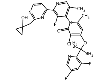 BC(B)(Oc1cc(C)n(-c2c(C)cnc(-c3ccnc(CC4(O)CC4)n3)c2F)c(=O)c1Cl)c1ncc(F)cc1F